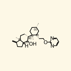 C=C1CC[C@H]2[C@H](O)[C@@H]([C@@]3(C)CC[C@H](C)C[C@@H]3CCOc3ncccn3)CC[C@]12C